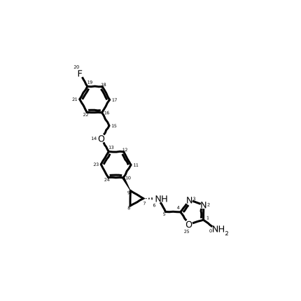 Nc1nnc(CN[C@@H]2C[C@H]2c2ccc(OCc3ccc(F)cc3)cc2)o1